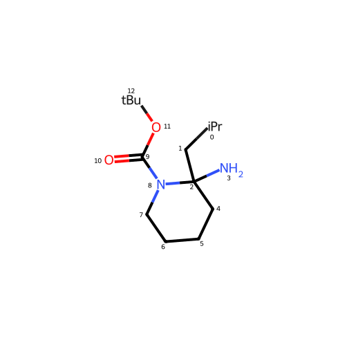 CC(C)CC1(N)CCCCN1C(=O)OC(C)(C)C